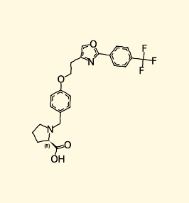 O=C(O)[C@H]1CCCN1Cc1ccc(OCCc2coc(-c3ccc(C(F)(F)F)cc3)n2)cc1